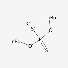 CCCCOP(=S)([S-])OCCCC.[K+]